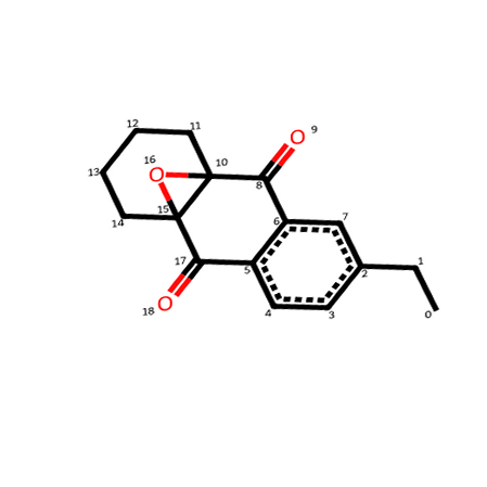 CCc1ccc2c(c1)C(=O)C13CCCCC1(O3)C2=O